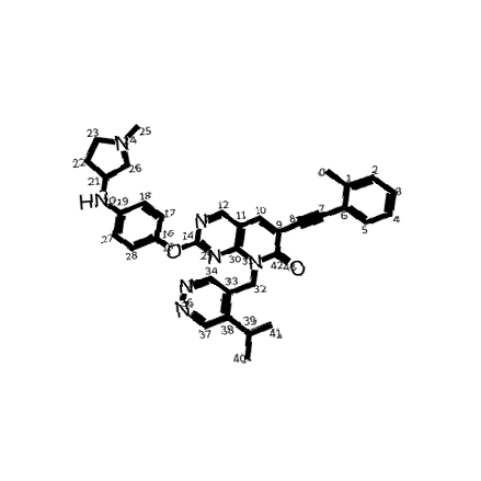 Cc1ccccc1C#Cc1cc2cnc(Oc3ccc(NC4CCN(C)C4)cc3)nc2n(Cc2cnncc2C(C)C)c1=O